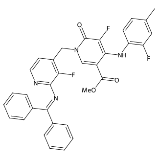 COC(=O)c1cn(Cc2ccnc(N=C(c3ccccc3)c3ccccc3)c2F)c(=O)c(F)c1Nc1ccc(C)cc1F